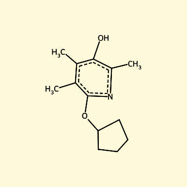 Cc1nc(OC2CCCC2)c(C)c(C)c1O